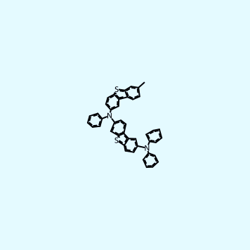 Cc1ccc2c(c1)sc1ccc(N(c3ccccc3)c3ccc4c(c3)sc3ccc(N(c5ccccc5)c5ccccc5)cc34)cc12